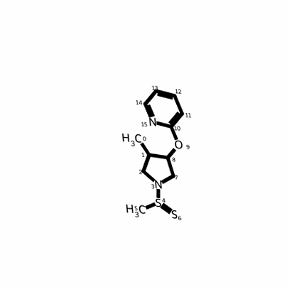 CC1CN(S(C)=S)CC1Oc1ccccn1